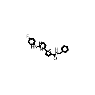 O=C(NCc1ccccc1)c1ccc(-c2ccnc(Nc3ccc(F)cc3)n2)s1